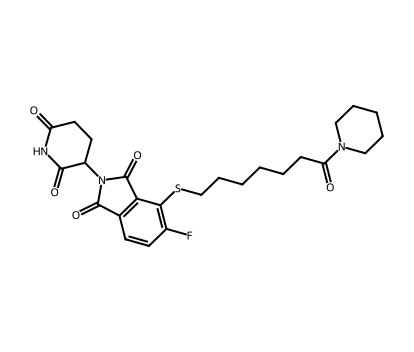 O=C1CCC(N2C(=O)c3ccc(F)c(SCCCCCCC(=O)N4CCCCC4)c3C2=O)C(=O)N1